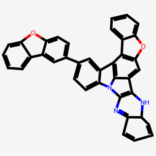 C1=CC2=Nc3c(c4cc5oc6ccccc6c5c5c6cc(-c7ccc8oc9ccccc9c8c7)ccc6n3c45)NC2C=C1